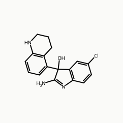 NC1=Nc2ccc(Cl)cc2C1(O)c1cccc2c1CCCN2